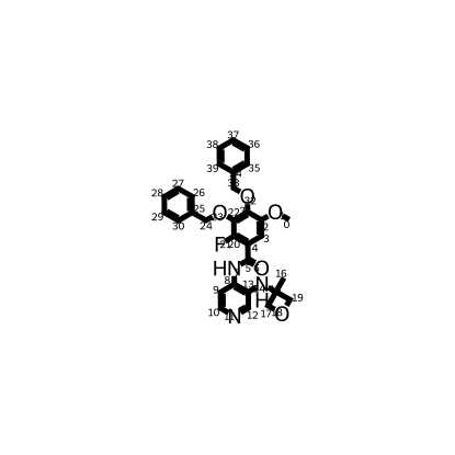 COc1cc(C(=O)Nc2ccncc2NC2(C)COC2)c(F)c(OCc2ccccc2)c1OCc1ccccc1